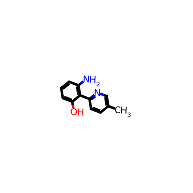 Cc1ccc(-c2c(N)cccc2O)nc1